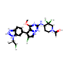 COc1nc(N[C@@H]2CCN(C(C)=O)CC2(F)F)nn2cc(F)c(-c3ccc4nnn([C@H](C)CF)c4c3)c12